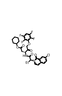 CCC(C(=O)N[C@@H](CC(=O)OC1CCCCC1)C(=O)COc1c(F)c(F)cc(F)c1F)n1ccc2ccc(Cl)cc2c1=O